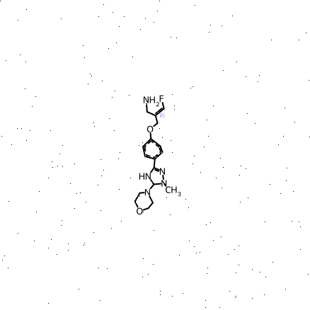 CN1N=C(c2ccc(OC/C(=C/F)CN)cc2)NC1N1CCOCC1